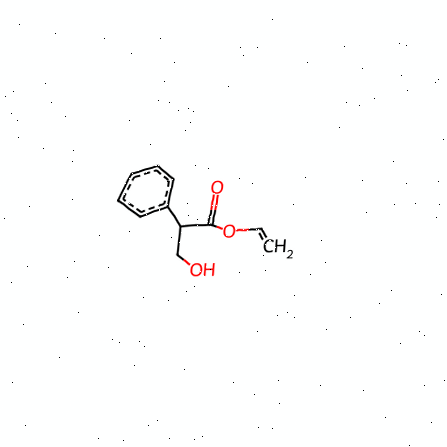 C=COC(=O)C(CO)c1ccccc1